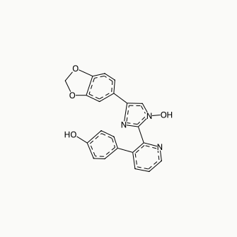 Oc1ccc(-c2cccnc2-c2nc(-c3ccc4c(c3)OCO4)cn2O)cc1